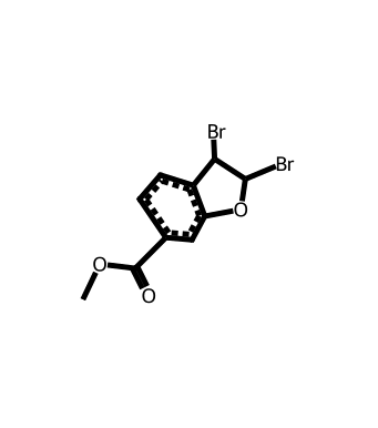 COC(=O)c1ccc2c(c1)OC(Br)C2Br